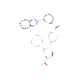 NC(=O)C1=NC(N2CCOCC2)N(C2CCN(C(=O)c3cccc(-c4nc5ccccc5[nH]4)n3)CC2)C=C1